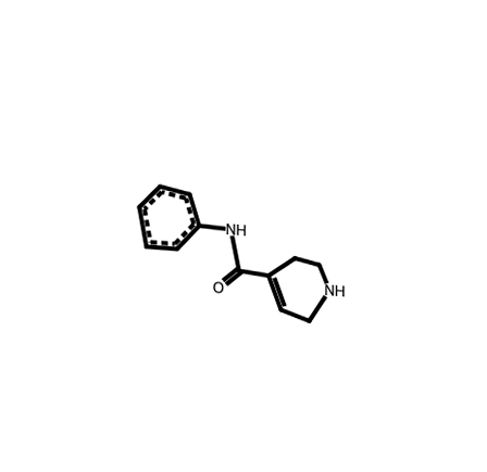 O=C(Nc1ccccc1)C1=CCNCC1